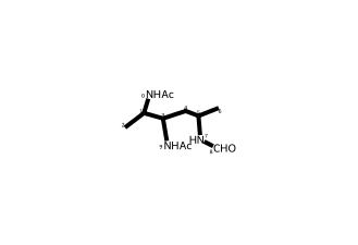 CC(=O)NC(C)C(CC(C)NC=O)NC(C)=O